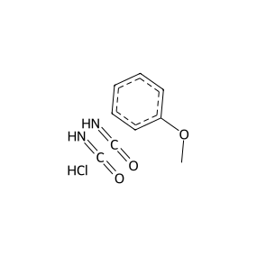 COc1ccccc1.Cl.N=C=O.N=C=O